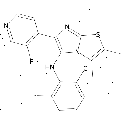 Cc1cccc(Cl)c1Nc1c(-c2ccncc2F)nc2sc(C)c(C)n12